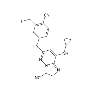 N#Cc1ccc(NC2=NN3C(=NCC3C#N)C(NC3CC3)=C2)cc1CF